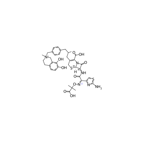 CC(CC1=C(C(=O)O)N2C(=O)[C@@H](NC(=O)/C(=N\OC(C)(C)C(=O)O)c3csc(N)n3)[C@H]2SC1)Cc1ccc(C[N+]2(C)CCc3ccc(O)c(O)c3C2)cc1